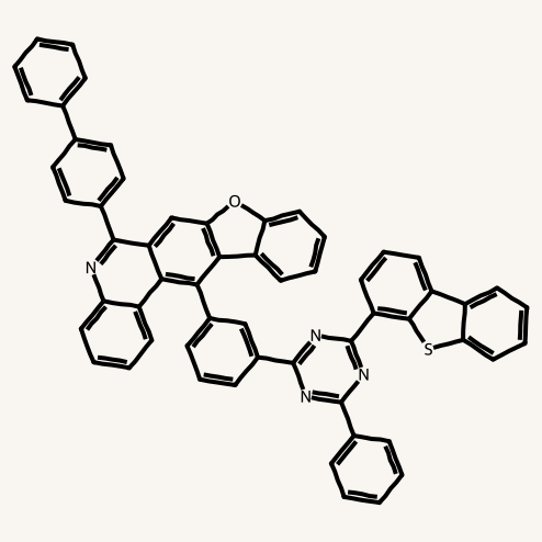 c1ccc(-c2ccc(-c3nc4ccccc4c4c(-c5cccc(-c6nc(-c7ccccc7)nc(-c7cccc8c7sc7ccccc78)n6)c5)c5c(cc34)oc3ccccc35)cc2)cc1